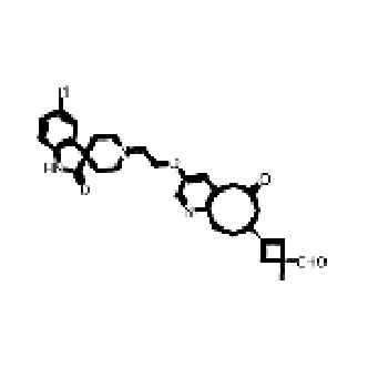 C[C@]1(C=O)C[C@@H](C2CCc3ncc(OCCN4CCC5(CC4)C(=O)Nc4ccc(Cl)cc45)cc3CC(=O)C2)C1